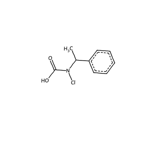 CC(c1ccccc1)N(Cl)C(=O)O